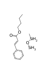 CCCCOC(=O)C=Cc1ccccc1.C[SiH2]O[SiH3]